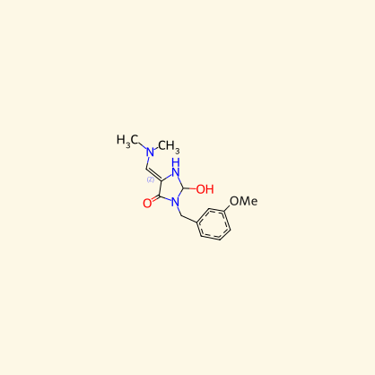 COc1cccc(CN2C(=O)/C(=C/N(C)C)NC2O)c1